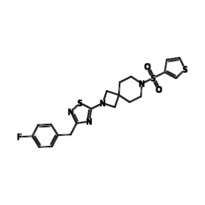 O=S(=O)(c1ccsc1)N1CCC2(CC1)CN(c1nc(Cc3ccc(F)cc3)ns1)C2